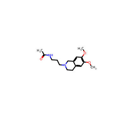 COc1cc2c(cc1OC)CN(CCCNC(C)=O)CC2